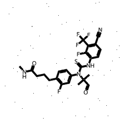 CNC(=O)CCCc1ccc(N(C(=S)Nc2ccc(C#N)c(C(F)(F)F)c2F)C(C)(C)C=O)cc1F